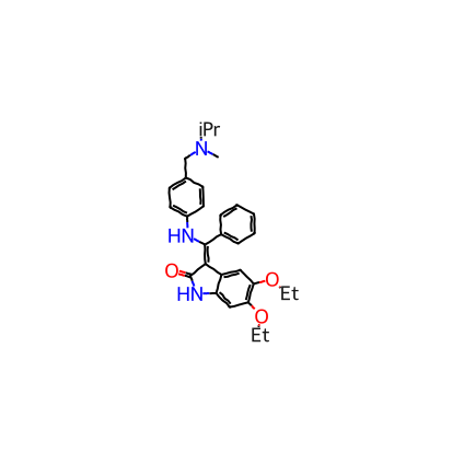 CCOc1cc2c(cc1OCC)/C(=C(/Nc1ccc(CN(C)C(C)C)cc1)c1ccccc1)C(=O)N2